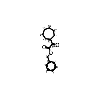 O=C(OCc1ccccc1)C(=O)C1CCCCCC1